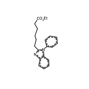 CCOC(=O)CCCCCc1nc2ccccc2n1-c1ccccc1